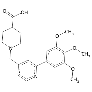 COc1cc(-c2cc(CN3CCC(C(=O)O)CC3)ccn2)cc(OC)c1OC